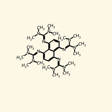 CN(C)C(=Nc1ccc(N=C(N(C)C)N(C)C)c2c(N=C(N(C)C)N(C)C)ccc(N=C(N(C)C)N(C)C)c12)N(C)C